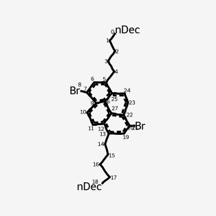 CCCCCCCCCCCCCCc1cc(Br)c2ccc3c(CCCCCCCCCCCCCC)cc(Br)c4ccc1c2c43